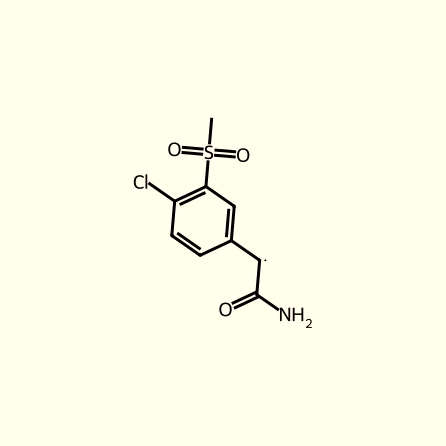 CS(=O)(=O)c1cc([CH]C(N)=O)ccc1Cl